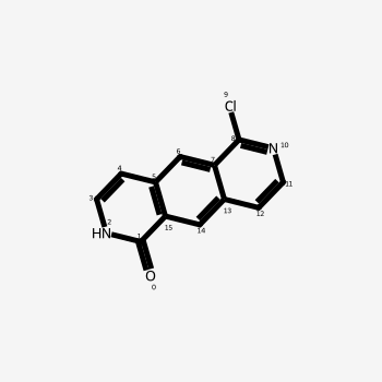 O=c1[nH]ccc2cc3c(Cl)nccc3cc12